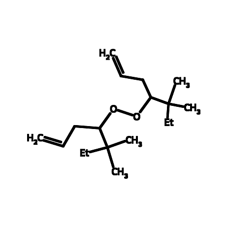 C=CCC(OOC(CC=C)C(C)(C)CC)C(C)(C)CC